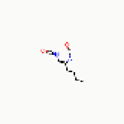 CCCCC(=CN=C=O)N=C=O